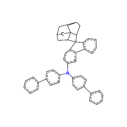 c1ccc(-c2ccc(N(c3ccc(-c4ccccc4)cc3)c3ccc4c(c3)-c3ccccc3C43C4CC5CC6CC3C4(C5)C6)cc2)cc1